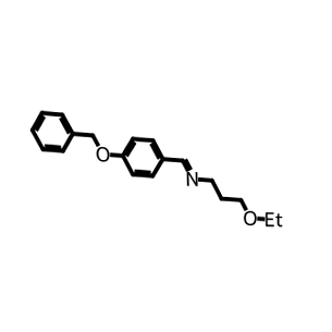 CCOCCCN=Cc1ccc(OCc2ccccc2)cc1